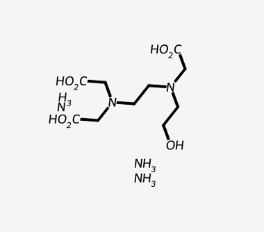 N.N.N.O=C(O)CN(CCO)CCN(CC(=O)O)CC(=O)O